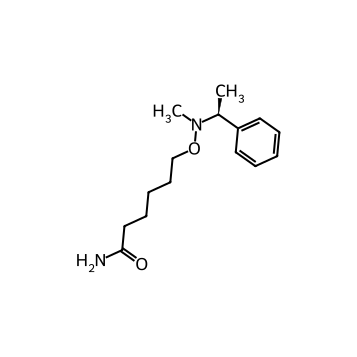 C[C@@H](c1ccccc1)N(C)OCCCCCC(N)=O